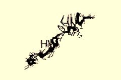 C=C(/C=C\C=C/C)NC(=O)/C=C(\N)C(=O)NCc1ccc2cc(CCN3CC4(CCC4)C3)[nH]c2c1